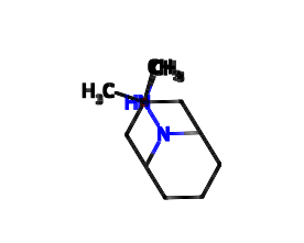 CNN1C2CCCC1CC(C)(C)C2